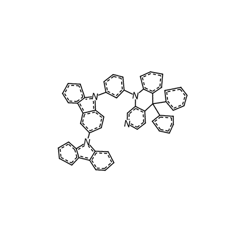 c1ccc(C2(c3ccccc3)c3ccccc3N(c3cccc(-n4c5ccccc5c5cc(-n6c7ccccc7c7ccccc76)ccc54)c3)c3cnccc32)cc1